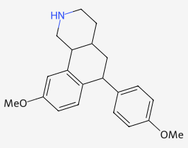 COc1ccc(C2CC3CCNCC3c3cc(OC)ccc32)cc1